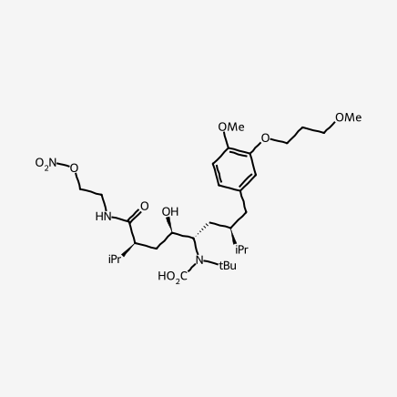 COCCCOc1cc(C[C@H](C[C@@H]([C@H](O)C[C@H](C(=O)NCCO[N+](=O)[O-])C(C)C)N(C(=O)O)C(C)(C)C)C(C)C)ccc1OC